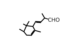 CC1=CCC(C)C(C)(C)C1/C=C/C(C)C=O